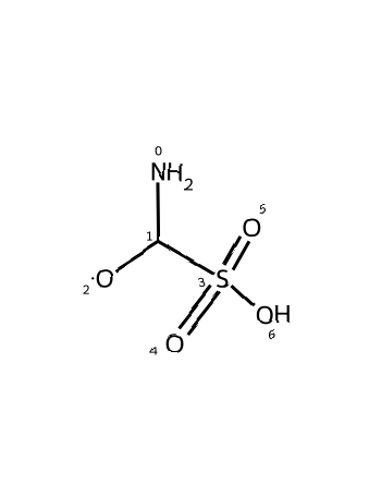 NC([O])S(=O)(=O)O